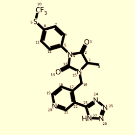 CC1C(=O)N(c2ccc(SC(F)(F)F)cc2)C(=O)N1Cc1ccncc1-c1nnn[nH]1